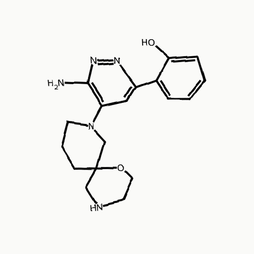 Nc1nnc(-c2ccccc2O)cc1N1CCCC2(CNCCO2)C1